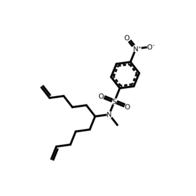 C=CCCCC(CCCC=C)N(C)S(=O)(=O)c1ccc([N+](=O)[O-])cc1